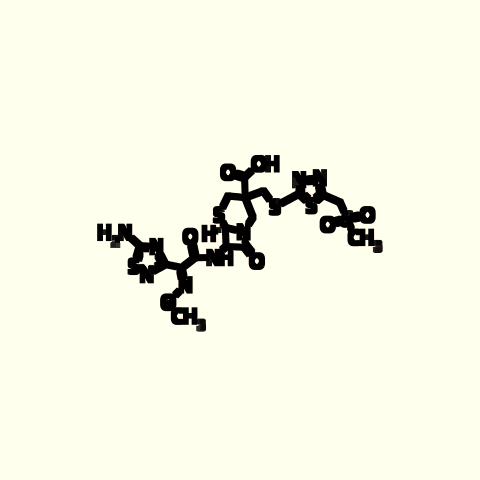 CON=C(C(=O)NC1C(=O)N2CC(CSc3nnc(CS(C)(=O)=O)s3)(C(=O)O)CS[C@H]12)c1nsc(N)n1